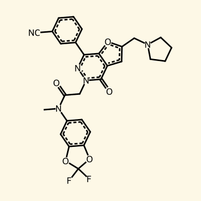 CN(C(=O)Cn1nc(-c2cccc(C#N)c2)c2oc(CN3CCCC3)cc2c1=O)c1ccc2c(c1)OC(F)(F)O2